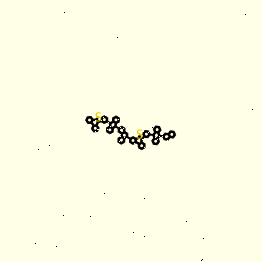 c1ccc2cc(-c3c4ccccc4c(-c4ccc5sc6c7cc(-c8cc9ccc(-c%10c%11ccccc%11c(-c%11ccc%12sc%13c%14ccccc%14c%14ccccc%14c%13c%12c%11)c%11ccccc%10%11)cc9c9ccccc89)ccc7c7ccccc7c6c5c4)c4ccccc34)ccc2c1